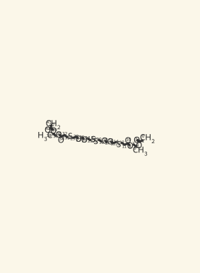 C=CC(=O)OC(C)COC(=O)CCSCCOCOCCSSCCOCOCCSCCC(=O)OCC(C)OC(=O)C=C